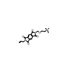 C=CCn1c(=O)c2cc3c(=O)n(COCC[Si](C)(C)C)c(=O)c3cc2c1=O